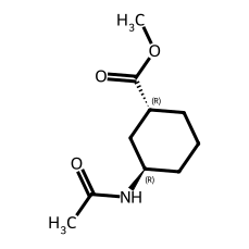 COC(=O)[C@@H]1CCC[C@@H](NC(C)=O)C1